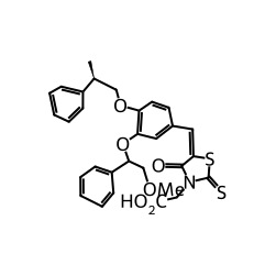 COCC(Oc1cc(C=C2SC(=S)N(CC(=O)O)C2=O)ccc1OC[C@H](C)c1ccccc1)c1ccccc1